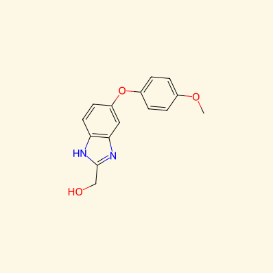 COc1ccc(Oc2ccc3[nH]c(CO)nc3c2)cc1